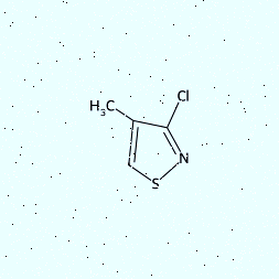 Cc1csnc1Cl